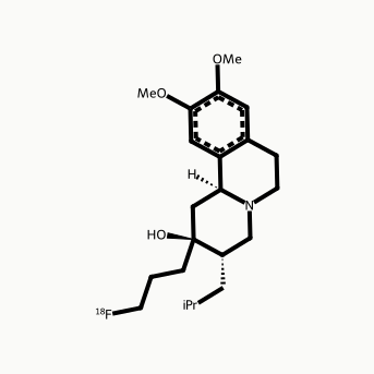 COc1cc2c(cc1OC)[C@@H]1C[C@@](O)(CCC[18F])[C@@H](CC(C)C)CN1CC2